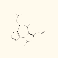 CC(C)CCc1sccc1N1C(C(F)F)=C(NC=O)SC1C